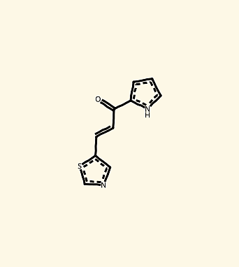 O=C(C=Cc1cncs1)c1ccc[nH]1